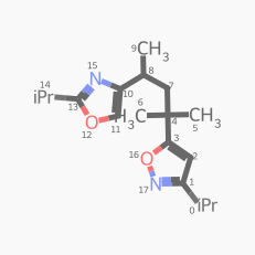 CC(C)c1cc(C(C)(C)CC(C)c2coc(C(C)C)n2)on1